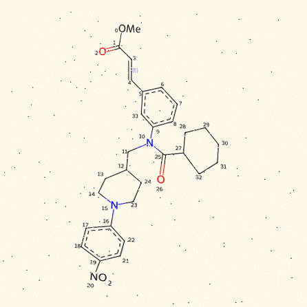 COC(=O)/C=C/c1cccc(N(CC2CCN(c3ccc([N+](=O)[O-])cc3)CC2)C(=O)C2CCCCC2)c1